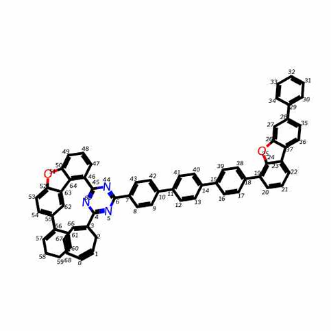 C1#CCC(c2nc(-c3ccc(-c4ccc(-c5ccc(-c6cccc7c6oc6cc(-c8ccccc8)ccc67)cc5)cc4)cc3)nc(-c3cccc4oc5ccc(C6=CCCC=C6)cc5c34)n2)=CC=C1